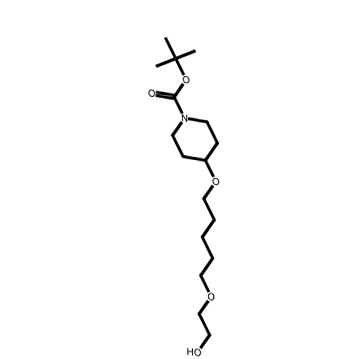 CC(C)(C)OC(=O)N1CCC(OCCCCCOCCO)CC1